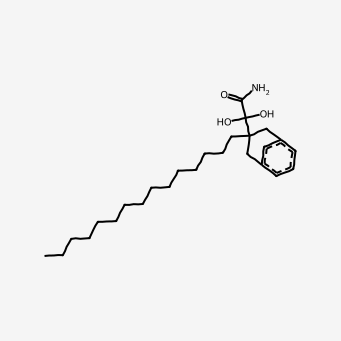 CCCCCCCCCCCCCCCC1(C(O)(O)C(N)=O)Cc2cccc(c2)C1